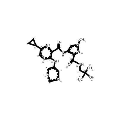 Cn1cc(NC(=O)c2nc(C3CC3)cnc2Nc2cncnc2)c(C(=O)NCC(C)(C)O)n1